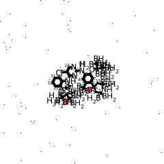 BC1(B)CC(B)(c2cc(OC(B)(C(B)(B)B)C(B)(B)B)c(Nc3ncc(Cl)c(Nc4ccccc4S(=O)(=O)C(B)(C(B)(B)B)C(B)(B)B)n3)cc2C(B)(B)B)CC(B)(B)N1